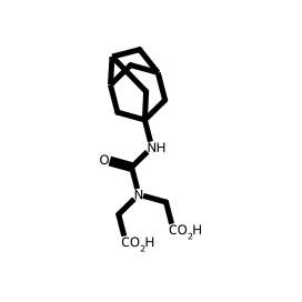 O=C(O)CN(CC(=O)O)C(=O)NC12CC3CC(C1)C(C3)C2